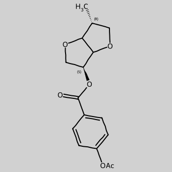 CC(=O)Oc1ccc(C(=O)O[C@H]2COC3C2OC[C@H]3C)cc1